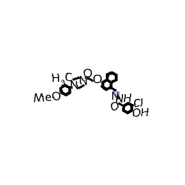 COc1ccc(N2CCN(C(=O)COc3ccc(/C=N/NC(=O)c4ccc(O)c(Cl)c4)c4ccccc34)CC2C)cc1